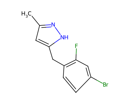 Cc1cc(Cc2ccc(Br)cc2F)[nH]n1